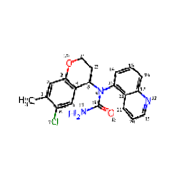 Cc1cc2c(cc1Cl)C(N(C(N)=O)c1cccc3ncccc13)CCO2